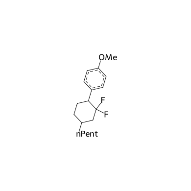 CCCCCC1CCC(c2ccc(OC)cc2)C(F)(F)C1